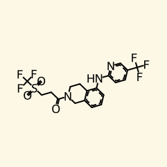 O=C(CCS(=O)(=O)C(F)(F)F)N1CCc2c(cccc2Nc2ccc(C(F)(F)F)cn2)C1